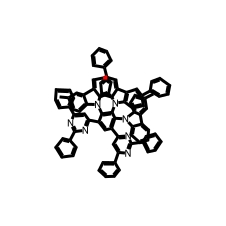 Cc1ccc2c(c1)c1ccccc1n2-c1c(-c2cc(-c3ccccc3)nc(-c3ccccc3)n2)cc(-c2cc(-c3ccccc3)nc(-c3ccccc3)n2)c(-n2c3ccccc3c3cc(C)ccc32)c1-n1c2ccc(-c3ccccc3)cc2c2cc(-c3ccccc3)ccc21